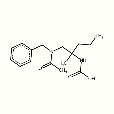 CCCC(C)(CN(Cc1ccccc1)C(C)=O)NC(=O)O